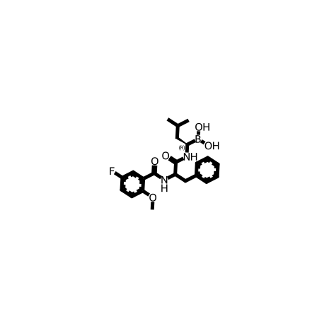 COc1ccc(F)cc1C(=O)NC(Cc1ccccc1)C(=O)N[C@@H](CC(C)C)B(O)O